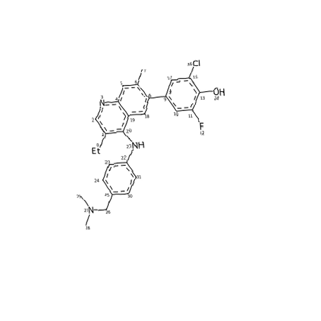 CCc1cnc2cc(C)c(-c3cc(F)c(O)c(Cl)c3)cc2c1Nc1ccc(CN(C)C)cc1